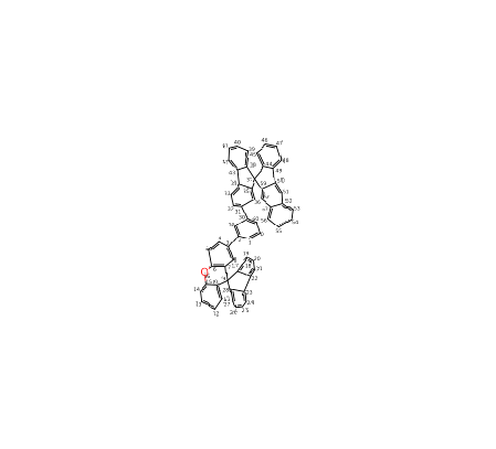 c1cc(-c2ccc3c(c2)C2(c4ccccc4O3)c3ccccc3-c3ccccc32)cc(-c2ccc3c(c2)C2(c4ccccc4-3)c3ccccc3-c3cc4ccccc4cc32)c1